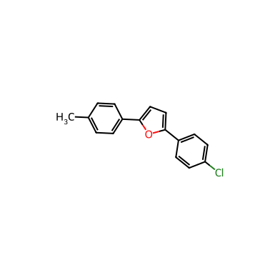 Cc1ccc(-c2ccc(-c3ccc(Cl)cc3)o2)cc1